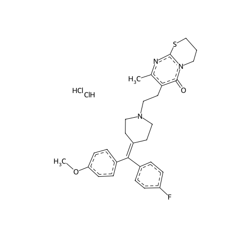 COc1ccc(C(=C2CCN(CCc3c(C)nc4n(c3=O)CCCS4)CC2)c2ccc(F)cc2)cc1.Cl.Cl